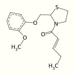 CC/C=C/C(=O)N1CCSC1COc1ccccc1OC